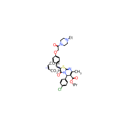 CCN1CCN(C(=O)COc2ccc(/C=c3\sc4n(c3=O)C(c3ccc(Cl)cc3)C(C(=O)OC(C)C)=C(C)N=4)cc2)CC1.O=C(O)/C=C\C(=O)O